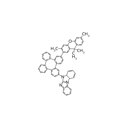 Cc1ccc2c(c1)Oc1cc(C)c(-c3ccc4c(c3)-c3ccccc3-c3ccccc3-c3ccc(N5c6nc7ccccc7n6C6C=CC=CC65)cc3-4)cc1C2(C)C